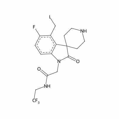 O=C(CN1C(=O)C2(CCNCC2)c2c1ccc(F)c2CI)NCC(F)(F)F